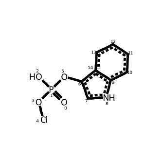 O=P(O)(OCl)Oc1c[nH]c2ccccc12